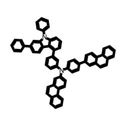 c1ccc(-c2ccc3c4c(-c5cccc(N(c6ccc(-c7ccc8c(ccc9ccccc98)c7)cc6)c6ccc7c(ccc8ccccc87)c6)c5)cccc4n(-c4ccccc4)c3c2)cc1